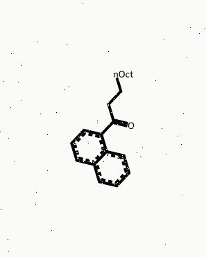 CCCCCCCCCCC(=O)c1cccc2ccccc12